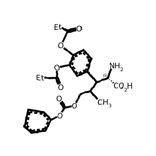 CCC(=O)Oc1ccc(C(C(C)COC(=O)Oc2ccccc2)[C@H](N)C(=O)O)cc1OC(=O)CC